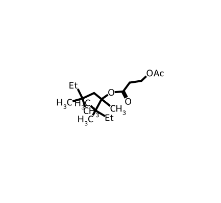 CCC(C)(C)CC(C)(OC(=O)CCOC(C)=O)C(C)(C)CC